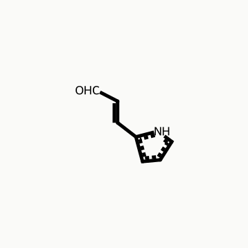 O=CC=Cc1ccc[nH]1